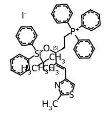 CC(=Cc1csc(C)n1)[C@H](CC[P+](c1ccccc1)(c1ccccc1)c1ccccc1)O[Si](c1ccccc1)(c1ccccc1)C(C)(C)C.[I-]